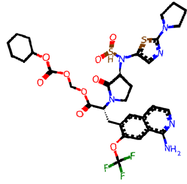 Nc1nccc2cc(C[C@H](C(=O)OCOC(=O)OC3CCCCC3)N3CC[C@H](N(c4cnc(N5CCCC5)s4)[SH](=O)=O)C3=O)c(OC(F)(F)F)cc12